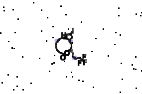 O=C1CCC/C=C\C[C@H]2C=C(I)C/C2=C/C[C@H](C/C=C\CC(F)(F)F)O1